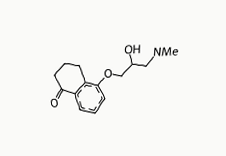 CNCC(O)COc1cccc2c1CCCC2=O